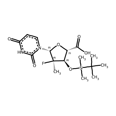 CC(C)(C)[Si](C)(C)O[C@@H]1[C@@H](C(=O)O)O[C@@H](n2ccc(=O)[nH]c2=O)[C@]1(C)F